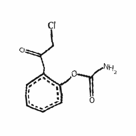 NC(=O)Oc1ccccc1C(=O)CCl